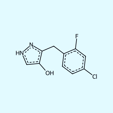 Oc1c[nH]nc1Cc1ccc(Cl)cc1F